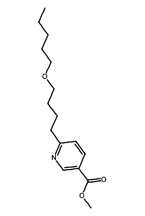 CCCCCOCCCCc1ccc(C(=O)OC)cn1